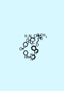 CC[C@@H](C)[C@@H](N)C(=O)OC1CCN(C(=O)[C@H]2CC[C@H](Nc3nccc(-n4ccc5c(OCCCS(C)(=O)=O)cccc54)n3)CC2)CC1